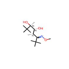 CON=C([C@H](C)[C@@H](O)[C@](C)(O)C(C)(C)C)C(C)(C)C